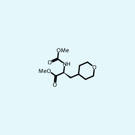 COC(=O)N[C@@H](CC1CCOCC1)C(=O)OC